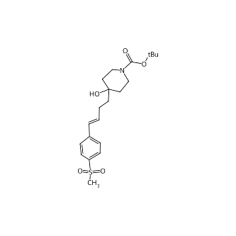 CC(C)(C)OC(=O)N1CCC(O)(CC/C=C/c2ccc(S(C)(=O)=O)cc2)CC1